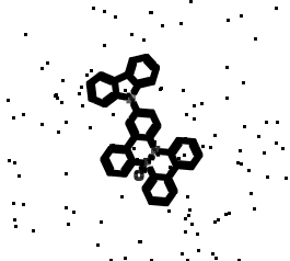 O=P12c3ccccc3-c3ccccc3N1c1ccc(-n3c4ccccc4c4ccccc43)cc1-c1ccccc12